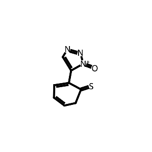 O=[N+]1N=NC=C1C1=CC=CCC1=S